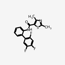 Cc1nc(C)c(C(=O)Nc2ccccc2-c2cc(F)c(F)cc2F)s1